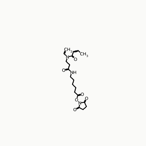 C=CN(CCC(=O)NCCCCCC(=O)ON1C(=O)CCC1=O)C(=O)/C=C\C